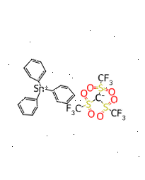 O=S(=O)([C-](S(=O)(=O)C(F)(F)F)S(=O)(=O)C(F)(F)F)C(F)(F)F.c1cc[c]([Sn+]([c]2ccccc2)[c]2ccccc2)cc1